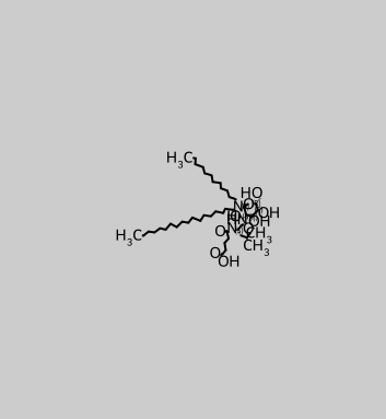 CCCCCCCCCCCCCCCCCC(=O)N(CCCCCCCCCCCC)[C@@H]1O[C@H](CO)[C@@H](O)[C@H](O)[C@@H]1NC(=O)[C@H](CC(C)C)NC(=O)CCCC(=O)O